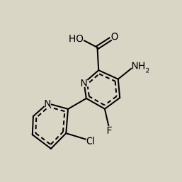 Nc1cc(F)c(-c2ncccc2Cl)nc1C(=O)O